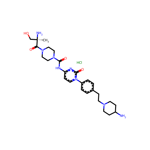 C[C@@](N)(CO)C(=O)N1CCN(C(=O)Nc2ccn(-c3ccc(CCN4CCC(N)CC4)cc3)c(=O)n2)CC1.Cl